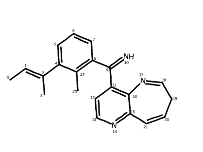 C/C=C(\C)c1cccc(C(=N)c2ccnc3c2N=CCC=C3)c1C